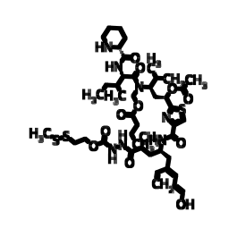 C=C/C(=C\C=C\O)C[C@@H](C[C@H](C)C(=O)NNC(=O)OCCSSC)NC(=O)c1csc([C@@H](C[C@H](C(C)C)N(COC(=O)CCC)C(=O)[C@@H](NC(=O)[C@H]2CCCCN2)C(C)CC)OC(C)=O)n1